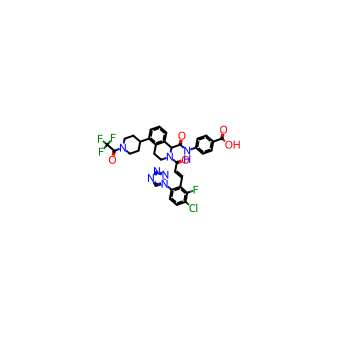 O=C(O)c1ccc(NC(=O)C2c3cccc(C4CCN(C(=O)C(F)(F)F)CC4)c3CCN2C(=O)/C=C/c2c(-n3cnnn3)ccc(Cl)c2F)cc1